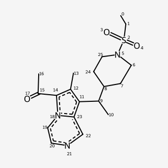 CCS(=O)(=O)N1CCC(C(C)c2c(C)c(C(C)=O)n3ccncc23)CC1